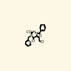 O=C(O)CN(Cc1ccccn1)C(=O)c1nc(-c2ccccc2)oc1CCl